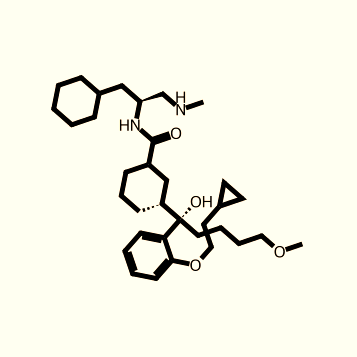 CNC[C@H](CC1CCCCC1)NC(=O)C1CCC[C@@H]([C@@](O)(CCCCOC)c2ccccc2OCCC2CC2)C1